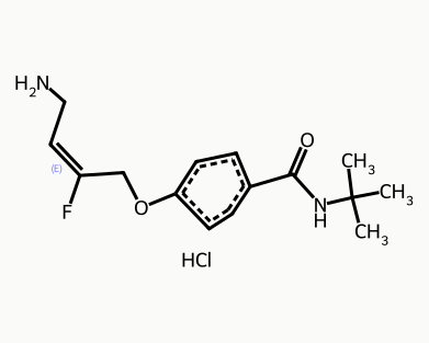 CC(C)(C)NC(=O)c1ccc(OC/C(F)=C\CN)cc1.Cl